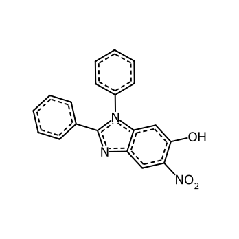 O=[N+]([O-])c1cc2nc(-c3ccccc3)n(-c3ccccc3)c2cc1O